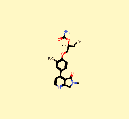 CC(C)C[C@@](C)(COc1ccc(-c2ccnc3c2C(=O)N(C)C3)cc1C(F)(F)F)OC(N)=O